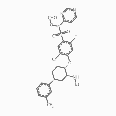 CCN[C@H]1C[C@@H](c2cccc(C(F)(F)F)c2)CC[C@@H]1Oc1cc(F)c(S(=O)(=O)N(OC=O)c2ccncn2)cc1Cl